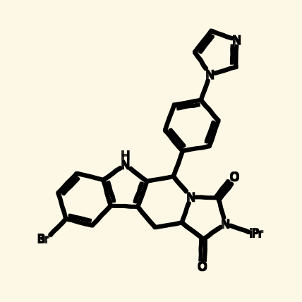 CC(C)N1C(=O)C2Cc3c([nH]c4ccc(Br)cc34)C(c3ccc(-n4ccnc4)cc3)N2C1=O